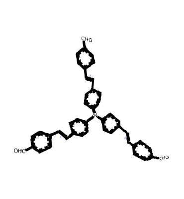 O=Cc1ccc(/C=C/c2ccc(N(c3ccc(/C=C/c4ccc(C=O)cc4)cc3)c3ccc(/C=C/c4ccc(C=O)cc4)cc3)cc2)cc1